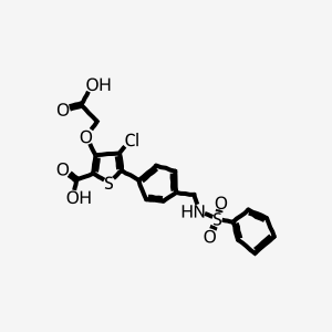 O=C(O)COc1c(C(=O)O)sc(-c2ccc(CNS(=O)(=O)c3ccccc3)cc2)c1Cl